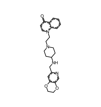 O=c1ccn(CCN2CCC(NCc3cc4c(cn3)OCCO4)CC2)c2ccccc12